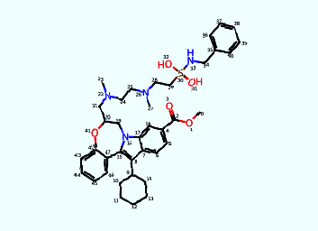 COC(=O)c1ccc2c(C3CCCCC3)c3n(c2c1)CC(CN(C)CCN(C)CCS(O)(O)NCc1ccccc1)Oc1ccccc1-3